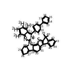 [2H]c1c([2H])c([2H])c2c(-c3ccc(-c4ccccc4)cc3)nc(-n3c4ccccc4c4ccc5c6c(sc5c43)C(C)(C)c3ccccc3-6)nc2c1[2H]